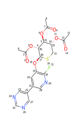 CC(=O)O[C@@H]1[C@@H](OC(C)=O)[C@H](OC(C)=O)CS[C@H]1Oc1cc(-c2cncnc2)cnc1F